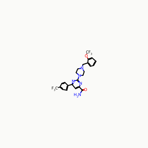 NC(=O)c1cc(-c2ccc(C(F)(F)F)cc2)nc(N2CCN(Cc3ccccc3OC(F)(F)F)CC2)n1